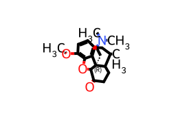 COc1ccc2c3c1OC1C(=O)CCC(C(C)C2)[C@]31CCN(C)C